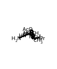 CC(=O)O[C@H]1CC[C@]2(C)[C@H]3CC[C@]4(C)[C@@H](C(C)CCCC(C)C)CC[C@H]4C3=C[C@@H](NCCCNCCCCN)[C@@]2(O)C1